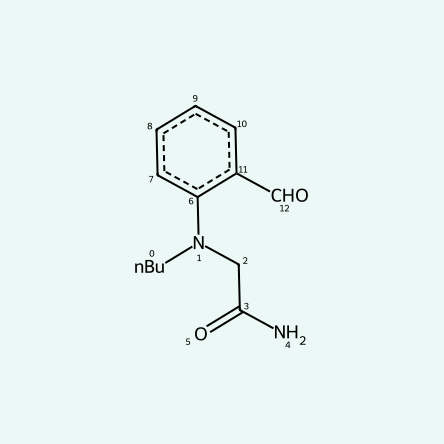 CCCCN(CC(N)=O)c1ccccc1C=O